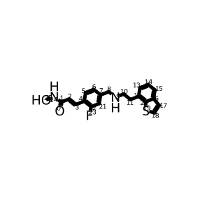 O=C(/C=C/c1ccc(CNCCc2cccc3ccsc23)cc1F)NO